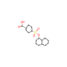 O=C(O)c1ccc(S(=O)(=O)Oc2cccc3ccccc23)cc1